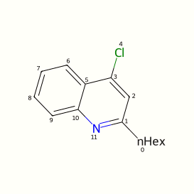 CCCCCCc1cc(Cl)c2ccccc2n1